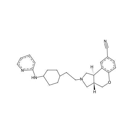 N#Cc1ccc2c(c1)[C@@H]1CN(CCC3CCC(Nc4ccccn4)CC3)C[C@H]1CO2